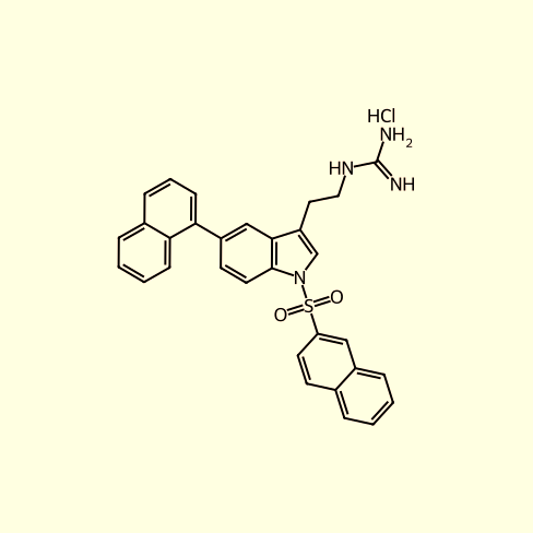 Cl.N=C(N)NCCc1cn(S(=O)(=O)c2ccc3ccccc3c2)c2ccc(-c3cccc4ccccc34)cc12